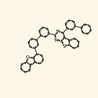 c1ccc(-c2cccc(-c3nc(-c4cccc(-c5cccc(-c6cccc7c6oc6ccccc67)c5)c4)nc4sc5ccccc5c34)c2)cc1